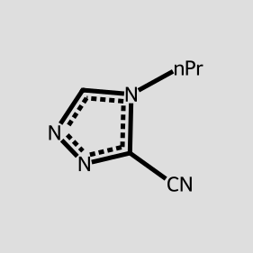 CCCn1cnnc1C#N